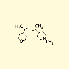 CC(CCC(C)C1CCN(C)CC1)C1CCOCC1